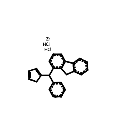 C1=CCC(C(c2ccccc2)c2cccc3c2Cc2ccccc2-3)=C1.Cl.Cl.[Zr]